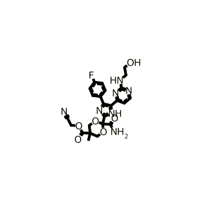 CC1(C(=O)OCC#N)COC(C(N)=O)(c2nc(-c3ccc(F)cc3)c(-c3ccnc(NCCO)n3)[nH]2)OC1